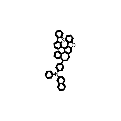 c1ccc(N(c2ccc(C3CCc4cc5oc6ccccc6c5c(-c5cccc6c5sc5ccccc56)c4-c4ccccc43)cc2)c2ccc3ccccc3c2)cc1